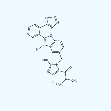 CCCCc1nc(Cl)c(C(=O)N(C)C)n1Cc1ccc2oc(-c3ccccc3-c3nnn[nH]3)c(Br)c2c1